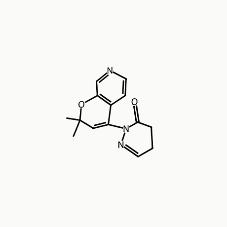 CC1(C)C=C(N2N=CCCC2=O)c2ccncc2O1